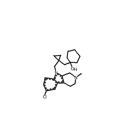 CN1CCc2c(n(CC3(CC4(O)CCCCC4)CC3)c3ccc(Cl)cc23)C1